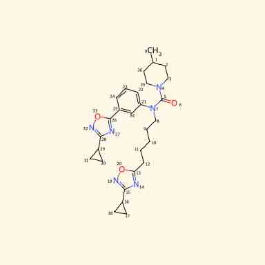 CC1CCN(C(=O)N(CCCCCc2nc(C3CC3)no2)c2cccc(-c3nc(C4CC4)no3)c2)CC1